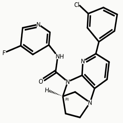 O=C(Nc1cncc(F)c1)N1c2nc(-c3cccc(Cl)c3)ccc2N2CC[C@@H]1C2